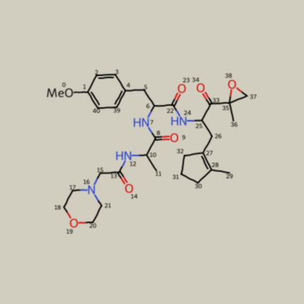 COc1ccc(CC(NC(=O)C(C)NC(=O)CN2CCOCC2)C(=O)NC(CC2=C(C)CCC2)C(=O)C2(C)CO2)cc1